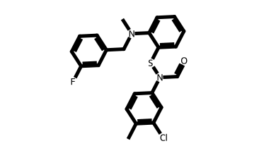 Cc1ccc(N(C=O)Sc2ccccc2N(C)Cc2cccc(F)c2)cc1Cl